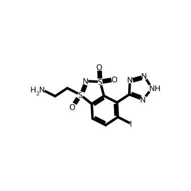 NCCS1(=O)=NS(=O)(=O)c2c1ccc(I)c2-c1nn[nH]n1